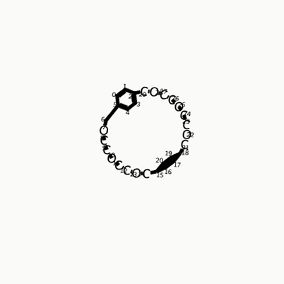 c1cc2ccc1COCCOCCOCc1ccc(cc1)COCCOCCOC2